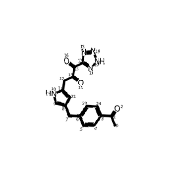 CC(=O)c1ccc(Cc2c[nH]c(CC(=O)C(=O)c3nn[nH]n3)c2)cc1